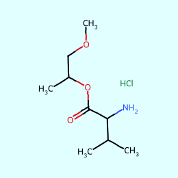 COCC(C)OC(=O)C(N)C(C)C.Cl